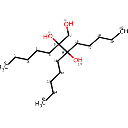 CCCCCC(O)(CO)C(O)(CCCCC)CCCCC